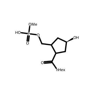 CCCCCCC(=O)C1C[C@H](O)CC1COP(=O)(O)OC